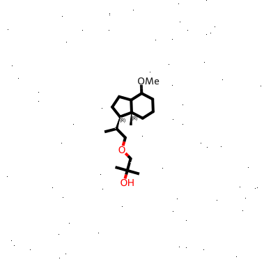 COC1CCC[C@@]2(C)C1CC[C@@H]2C(C)COCC(C)(C)O